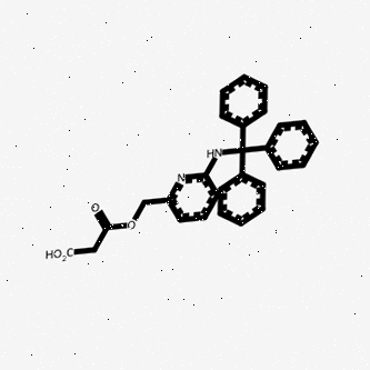 O=C(O)CC(=O)OCc1cccc(NC(c2ccccc2)(c2ccccc2)c2ccccc2)n1